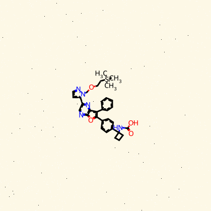 C[Si](C)(C)CCOCn1nccc1-c1cnc2oc(-c3ccc(C4(NC(=O)O)CCC4)cc3)c(-c3ccccc3)c2n1